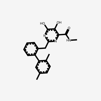 CNC(=O)c1nc(Cc2ccccc2-c2cc(C)ccc2C)nc(O)c1O